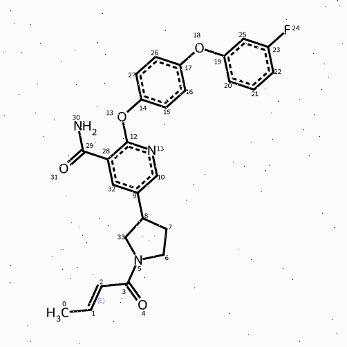 C/C=C/C(=O)N1CCC(c2cnc(Oc3ccc(Oc4cccc(F)c4)cc3)c(C(N)=O)c2)C1